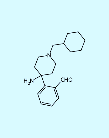 NC1(c2ccccc2C=O)CCN(CC2CCCCC2)CC1